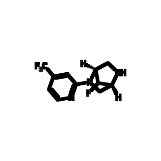 FC1[C@H]2CN(c3cc(C(F)(F)F)ccn3)[C@H]1CN2